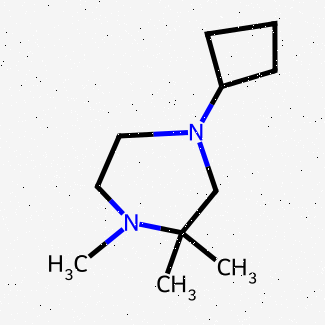 CN1CCN(C2CCC2)CC1(C)C